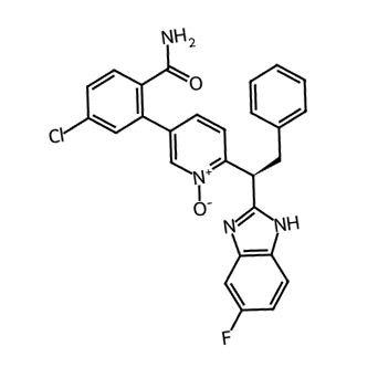 NC(=O)c1ccc(Cl)cc1-c1ccc([C@@H](Cc2ccccc2)c2nc3cc(F)ccc3[nH]2)[n+]([O-])c1